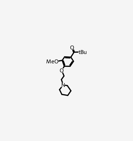 COc1cc(C(=O)C(C)(C)C)ccc1OCCN1CCCCC1